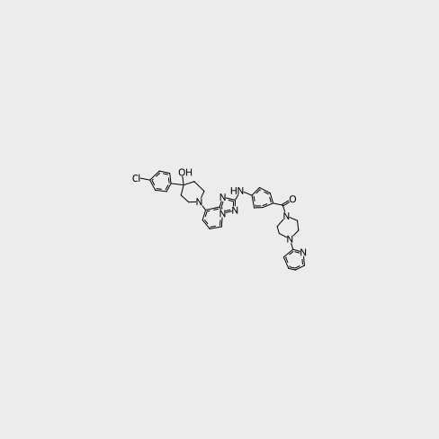 O=C(c1ccc(Nc2nc3c(N4CCC(O)(c5ccc(Cl)cc5)CC4)cccn3n2)cc1)N1CCN(c2ccccn2)CC1